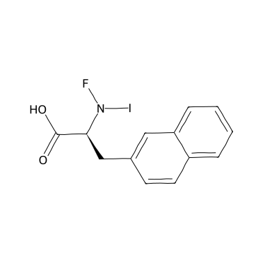 O=C(O)[C@H](Cc1ccc2ccccc2c1)N(F)I